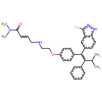 CC(C)/C(=C(/c1ccc(OCCNC/C=C/C(=O)N(C)C)cc1)c1ccc2[nH]nc(F)c2c1)c1ccccc1